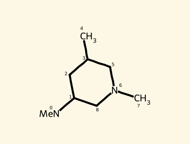 CNC1CC(C)CN(C)C1